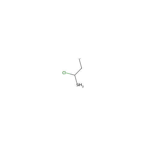 [CH2]CC([SiH3])Cl